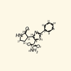 NS(=O)(=O)c1sc(-c2ccccc2)nc1C1CCNC1=O